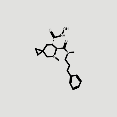 CN(CCCc1ccccc1)C(=O)[C@@H]1[C@@H](C(=O)NO)CC2(CC2)CN1C